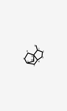 CC1CCC2CC3CCC12C3